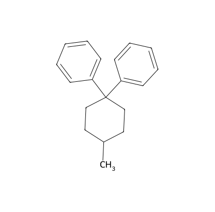 CC1CCC(c2ccccc2)(c2ccccc2)CC1